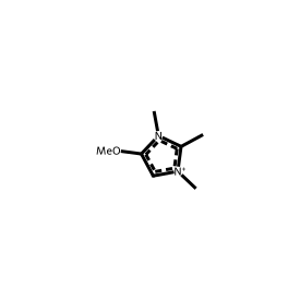 COc1c[n+](C)c(C)n1C